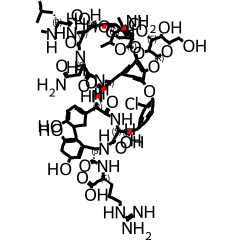 CN[C@H](CC(C)C)C(=O)N[C@H]1C(=O)N[C@@H](CC(N)=O)C(=O)N[C@H]2C(=O)N[C@H]3C(=O)N[C@H](C(=O)N[C@H](C(=O)N[C@@H](CCCNC(=N)N)C(=O)O)C4=CC(O)CC(O)=C4C4CC3=CC=C4O)[C@H](O)c3ccc(c(Cl)c3)Oc3cc2cc(c3O[C@H]2OC(CO)C(O)[C@H](O)C2O[C@H]2CC(C)(N)[C@H](O)C(C)O2)OC2=C(Cl)C=C(CC2)[C@H]1O